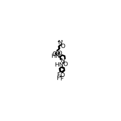 CN(C)C(=O)C=CCS(=O)(=O)NC1CCCN(C(=O)Nc2ccc(OC(F)(F)F)cc2)C1